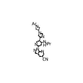 CC(=O)N1CC(n2cnc(-c3cnc(-n4ncc5cc(C#N)cnc54)cc3NC(C)C)c2)C1